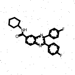 O=C(NC1CCCCC1)c1ccc2nc(-c3ccc(F)cc3)c(-c3ccc(F)cc3)nc2c1